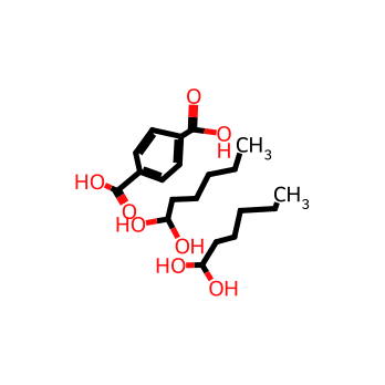 CCCCCC(O)O.CCCCCC(O)O.O=C(O)c1ccc(C(=O)O)cc1